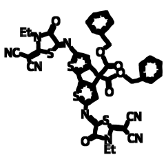 CCN1C(=O)/C(=N/c2cc3c(s2)-c2sc(/N=C4\SC(=C(C#N)C#N)N(CC)C4=O)cc2C3(C(=O)OCc2ccccc2)C(=O)OCc2ccccc2)SC1=C(C#N)C#N